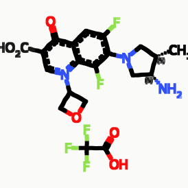 C[C@H]1CN(c2c(F)cc3c(=O)c(C(=O)O)cn(C4COC4)c3c2F)C[C@H]1N.O=C(O)C(F)(F)F